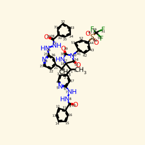 CC(c1ccnc(NNC(=O)c2ccccc2)c1)C1(C(C)c2ccnc(NNC(=O)c3ccccc3)c2)NC(=O)N(c2ccc(S(=O)(=O)C(F)(F)F)cc2)C1=O